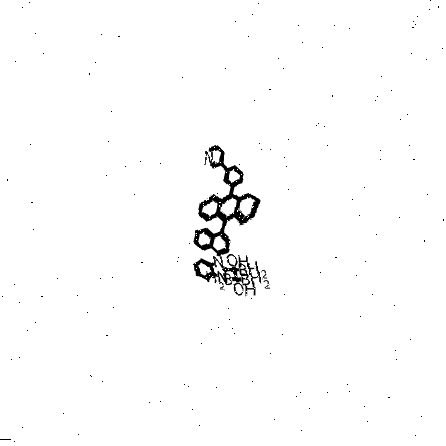 BC(B)(O)C(B)(O)c1nc2ccccc2n1-c1ccc(-c2c3ccccc3c(-c3cccc(-c4cccnc4)c3)c3ccccc23)c2ccccc12